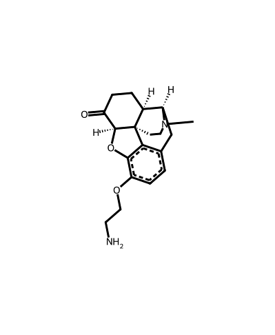 CN1CC[C@]23c4c5ccc(OCCN)c4O[C@H]2C(=O)CC[C@H]3[C@H]1C5